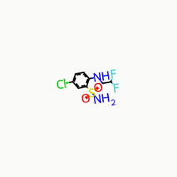 NS(=O)(=O)c1cc(Cl)ccc1NCC(F)F